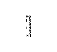 CNCCCOCCCNCCCOCCCNCCCO